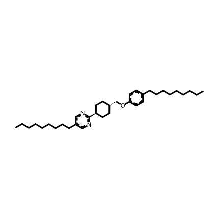 CCCCCCCCCc1ccc(OC[C@H]2CC[C@H](c3ncc(CCCCCCCCC)cn3)CC2)cc1